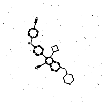 N#Cc1ccc(Nc2ccc(-c3c(C#N)c4ccc(OC5CCOCC5)cc4n3C3CCC3)cc2)cc1